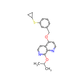 CC(C)Oc1nccc2c(OCc3cccc(SC4CC4)c3)ccnc12